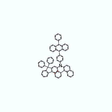 c1ccc(-c2c(N(c3ccc(-c4c5ccccc5c(-c5ccccc5)c5ccccc45)cc3)c3ccc4c(c3)C(c3ccccc3)(c3ccccc3)c3ccccc3-4)ccc3ccccc23)cc1